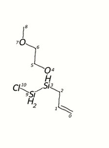 C=CC[SiH](OCCOC)[SiH2]Cl